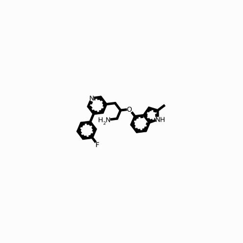 Cc1cc2c(OC(CN)Cc3cncc(-c4cccc(F)c4)c3)cccc2[nH]1